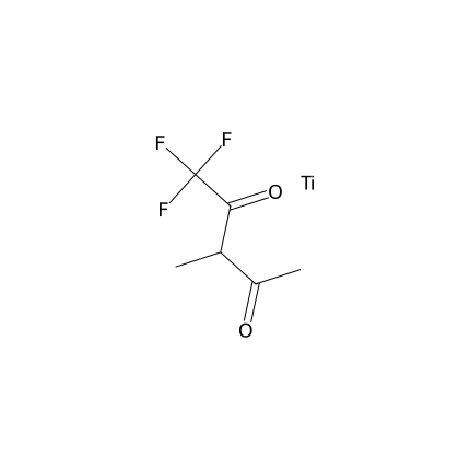 CC(=O)C(C)C(=O)C(F)(F)F.[Ti]